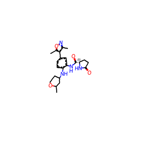 Cc1noc(C)c1-c1ccc(NC2CCOC(C)C2)c(NC(=O)[C@@H]2CCC(=O)N2)c1